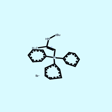 C/C(=C\[P+](c1ccccc1)(c1ccccc1)c1ccccc1)NC(C)(C)C.[Br-]